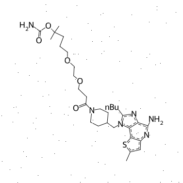 CCCCc1nc2c(N)nc3cc(C)sc3c2n1CC1CCN(C(=O)CCOCCOCCCC(C)(C)OC(N)=O)CC1